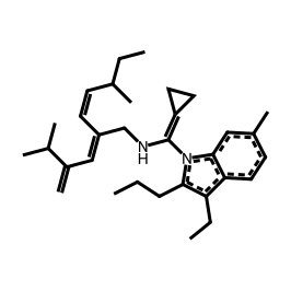 C=C(/C=C(\C=C/C(C)CC)CNC(=C1CC1)n1c(CCC)c(CC)c2ccc(C)cc21)C(C)C